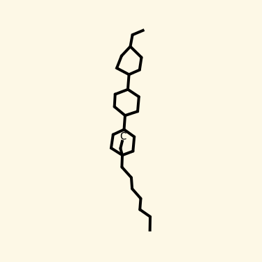 CCCCCCCC12CCC(C3CCC(C4CCC(CC)CC4)CC3)(CC1)CC2